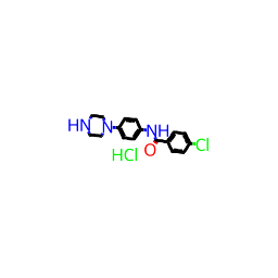 Cl.O=C(Nc1ccc(N2CCNCC2)cc1)c1ccc(Cl)cc1